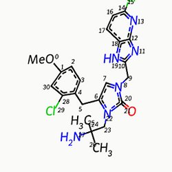 COc1ccc(Cc2cn(Cc3nc4nc(Cl)ccc4[nH]3)c(=O)n2CC(C)(C)N)c(Cl)c1